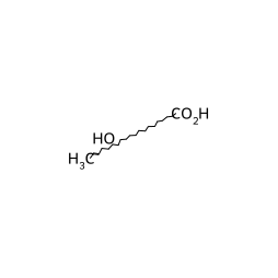 C/C=C/CCC(O)CCCCCCCCCCCCCC(=O)O